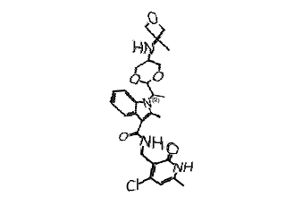 Cc1cc(Cl)c(CNC(=O)c2c(C)n([C@H](C)C3OCC(NC4(C)COC4)CO3)c3ccccc23)c(=O)[nH]1